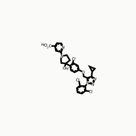 O=C(O)c1ccnc(N2CCC(O)(c3ccc(OCc4c(C5CC5)nnn4-c4c(Cl)cccc4Cl)cc3Cl)CC2)c1